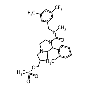 Cc1ccccc1C1C2CC(COS(C)(=O)=O)CN2CCN1C(=O)N(C)Cc1cc(C(F)(F)F)cc(C(F)(F)F)c1